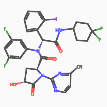 N#Cc1ccnc(N2C(=O)[C@H](O)C[C@H]2C(=O)N(c2cc(F)cc(F)c2)[C@@H](C(=O)NC2CCC(F)(F)CC2)c2ccccc2I)n1